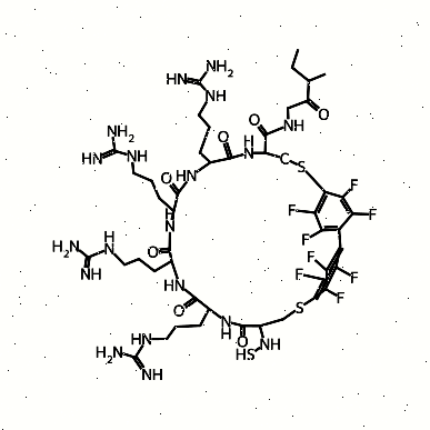 CCC(C)C(=O)CNC(=O)C1CSc2c(F)c(F)c(c(F)c2F)-c2c(F)c(F)c(c(F)c2F)SCC(NS)C(=O)NC(CCCNC(=N)N)C(=O)NC(CCCNC(=N)N)C(=O)NC(CCCNC(=N)N)C(=O)NC(CCCNC(=N)N)C(=O)N1